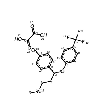 CNCCC(Oc1ccc(C(F)(F)F)cc1)c1ccc(Cl)cc1.O=C(O)C(=O)O